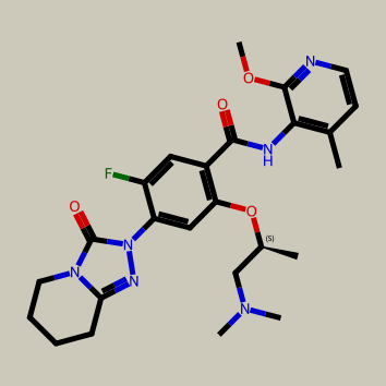 COc1nccc(C)c1NC(=O)c1cc(F)c(-n2nc3n(c2=O)CCCC3)cc1O[C@@H](C)CN(C)C